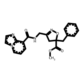 COC(=O)C1(Cc2ccccc2)CC(CNC(=O)c2cccn3ccnc23)=NO1